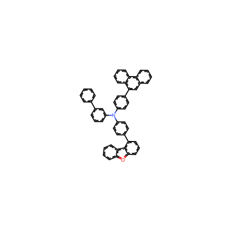 c1ccc(-c2cccc(N(c3ccc(-c4cc5ccccc5c5ccccc45)cc3)c3ccc(-c4cccc5oc6ccccc6c45)cc3)c2)cc1